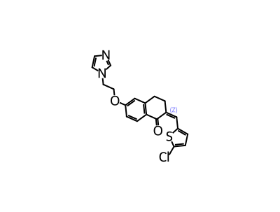 O=C1/C(=C\c2ccc(Cl)s2)CCc2cc(OCCn3ccnc3)ccc21